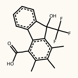 Cc1c(C)c(C(=O)O)c2c(c1C)C(O)(C(F)(F)F)c1ccccc1-2